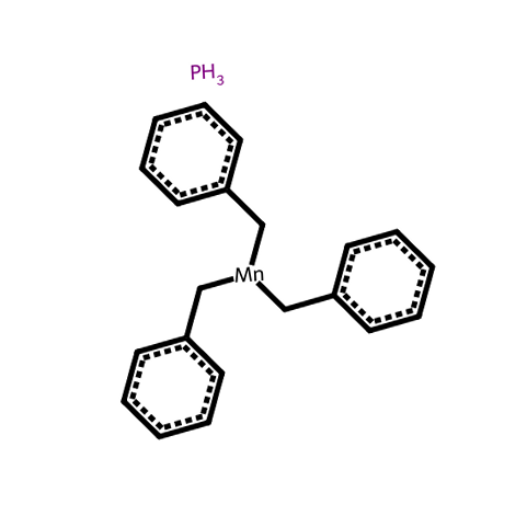 P.c1ccc([CH2][Mn]([CH2]c2ccccc2)[CH2]c2ccccc2)cc1